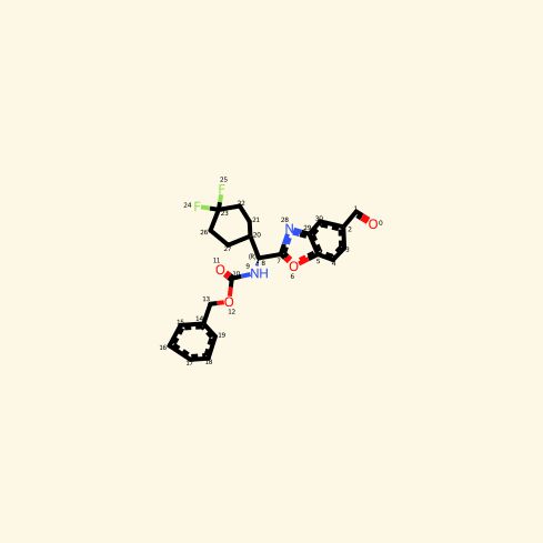 O=Cc1ccc2oc([C@H](NC(=O)OCc3ccccc3)C3CCC(F)(F)CC3)nc2c1